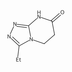 CCc1nnc2n1CCC(=O)N2